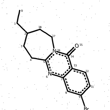 CCC1CCc2nc3cc(Br)ccc3c(=O)n2CC1